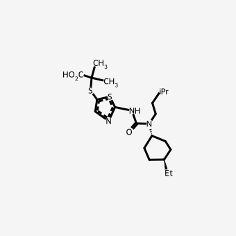 CC[C@H]1CC[C@H](N(CCC(C)C)C(=O)Nc2ncc(SC(C)(C)C(=O)O)s2)CC1